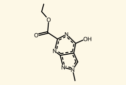 CCOC(=O)c1nc(O)c2cn(C)nc2n1